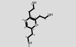 SCCC1=C(CCS)OC(CCS)C=N1